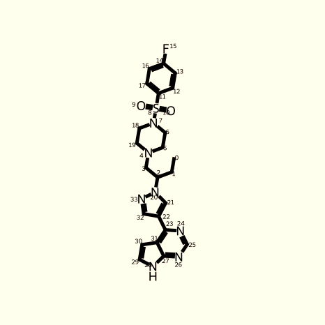 CCC(CN1CCN(S(=O)(=O)c2ccc(F)cc2)CC1)n1cc(-c2ncnc3[nH]ccc23)cn1